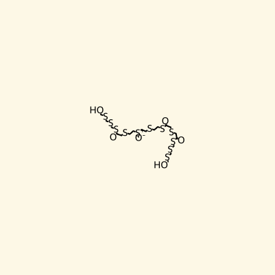 O=C(CSCC(=O)SCSCSCO)SCCSCC[S+]([O-])CCSCC(=O)SCSCSCO